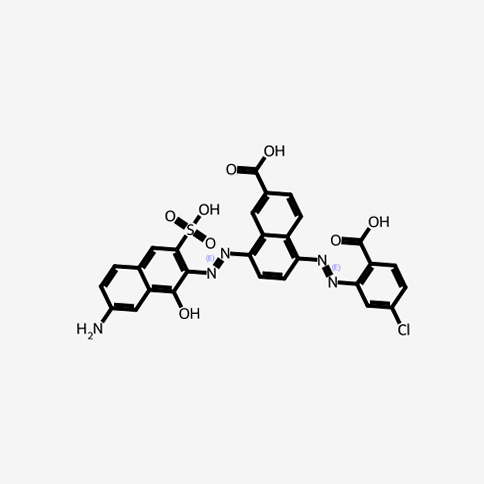 Nc1ccc2cc(S(=O)(=O)O)c(/N=N/c3ccc(/N=N/c4cc(Cl)ccc4C(=O)O)c4ccc(C(=O)O)cc34)c(O)c2c1